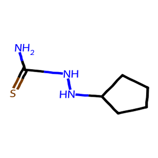 NC(=S)NNC1CCCC1